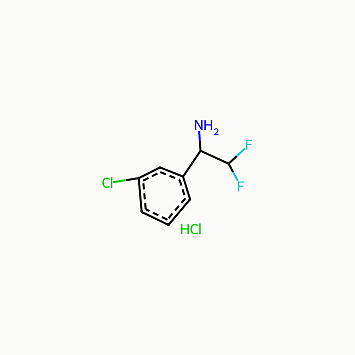 Cl.NC(c1cccc(Cl)c1)C(F)F